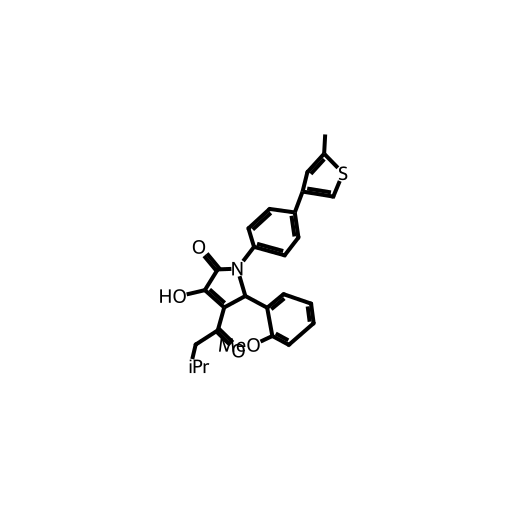 COc1ccccc1C1C(C(=O)CC(C)C)=C(O)C(=O)N1c1ccc(-c2csc(C)c2)cc1